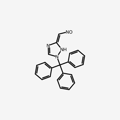 O=NC=C1N=CN(C(c2ccccc2)(c2ccccc2)c2ccccc2)N1